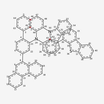 c1ccc(-c2ccc(-c3cc4ccccc4c4ccccc34)cc2N(c2cccc(-c3cccc4c3sc3ccccc34)c2)c2ccccc2-n2c3ccccc3c3ccccc32)cc1